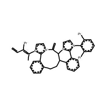 C=C/C(=C(\C)n1cc[n+]2c1-c1ccccc1CCC1c3ccccc3-c3n(-c4c(C(C)C)cccc4C(C)C)cc[n+]3C1C2=C)C(C)C